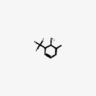 CC1CC=CC(C(F)(F)F)C1N